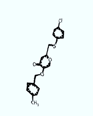 Cc1ccc(COc2coc(CSc3ccc(Cl)cc3)cc2=O)cc1